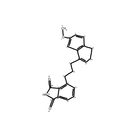 COc1ccc2c(c1)C(CCCc1cccc3c1C(=O)NC3=O)=CCC2